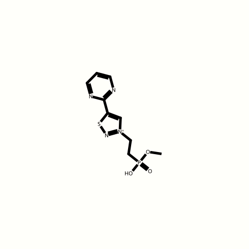 COP(=O)(O)CC[n+]1cc(-c2ncccn2)sn1